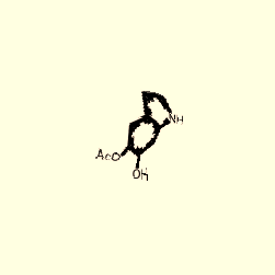 CC(=O)Oc1cc2cc[nH]c2cc1O